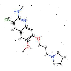 CNc1nc2cc(OCCCN3CCCC3)c(OC)cc2cc1Cl